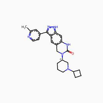 Cc1cc(-c2n[nH]c3cc4c(cc23)CN([C@@H]2CCCN(C3CCC3)C2)C(=O)N4)ccn1